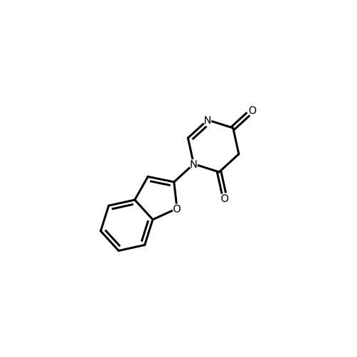 O=C1CC(=O)N(c2cc3ccccc3o2)C=N1